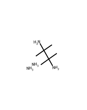 CC(C)(N)C(C)(C)N.N.N